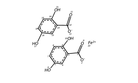 O=C([O-])c1cc(O)ccc1O.O=C([O-])c1cc(O)ccc1O.[Fe+2]